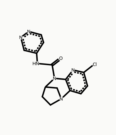 O=C(Nc1ccnnc1)N1c2nc(Cl)ccc2N2CCC1C2